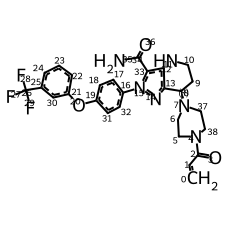 C=CC(=O)N1CCN([C@@H]2CCNc3c2nn(-c2ccc(Oc4cccc(C(F)(F)F)c4)cc2)c3C(N)=O)CC1